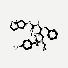 Cc1ccc(S(=O)(=O)N(CC(C)C)C[C@@H](O)[C@H](Cc2ccccc2)NC(=O)O[C@@H]2CC3CCO[C@@H]3C2)cc1